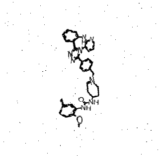 COc1ccc(C)cc1NC(=O)NC1CCN(Cc2ccc(-c3nnc4n3-c3cccnc3Nc3ccccc3-4)cc2)CC1